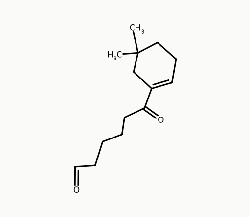 CC1(C)CCC=C(C(=O)CCCCC=O)C1